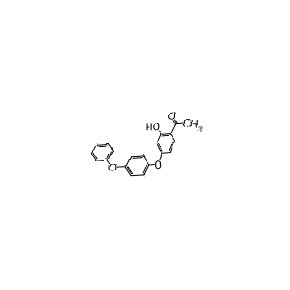 CC(=O)c1ccc(Oc2ccc(Oc3ccccc3)cc2)cc1O